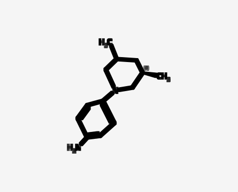 CC1C[C@@H](C)CN(c2ccc(N)cc2)C1